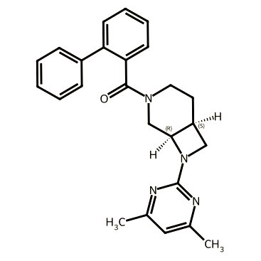 Cc1cc(C)nc(N2C[C@@H]3CCN(C(=O)c4ccccc4-c4ccccc4)C[C@@H]32)n1